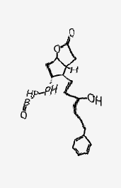 O=BPP[C@@H]1CC2OC(=O)C[C@@H]2[C@H]1/C=C/C(O)CCc1ccccc1